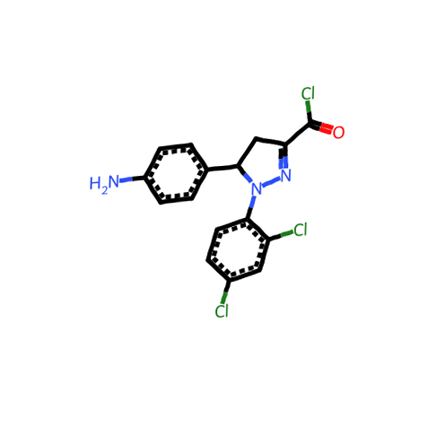 Nc1ccc(C2CC(C(=O)Cl)=NN2c2ccc(Cl)cc2Cl)cc1